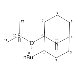 CCCCC1CCC2CCCC1(O[SiH](C)C)N2